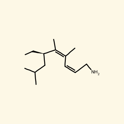 CC[C@H](CC(C)C)C(C)=C(C)/C=C\CN